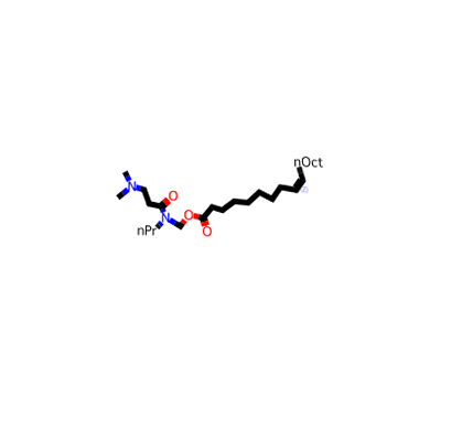 CCCCCCCC/C=C\CCCCCCCC(=O)OCN(CCC)C(=O)CCN(C)C